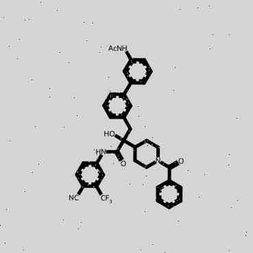 CC(=O)Nc1cccc(-c2cccc(CC(O)(C(=O)Nc3ccc(C#N)c(C(F)(F)F)c3)C3CCN(C(=O)c4ccccc4)CC3)c2)c1